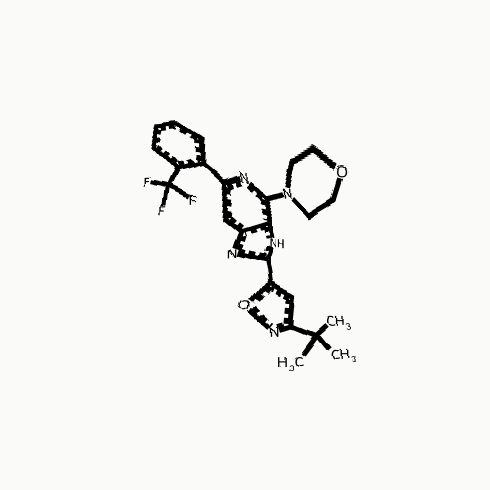 CC(C)(C)c1cc(-c2nc3cc(-c4ccccc4C(F)(F)F)nc(N4CCOCC4)c3[nH]2)on1